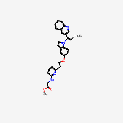 CCOC(=O)/C=C(\c1cnc2ccccc2c1)n1ccc2cc(OCCc3cccc(NCC(=O)OC(C)(C)C)n3)ccc21